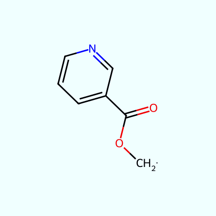 [CH2]OC(=O)c1cccnc1